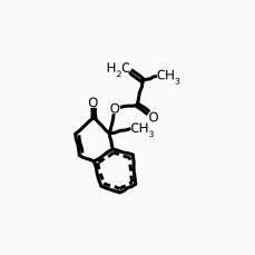 C=C(C)C(=O)OC1(C)C(=O)C=Cc2ccccc21